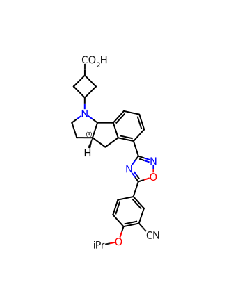 CC(C)Oc1ccc(-c2nc(-c3cccc4c3C[C@@H]3CCN(C5CC(C(=O)O)C5)C43)no2)cc1C#N